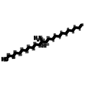 CCCCCCCCCCCCC(N)CCCCCCCCCCO.I